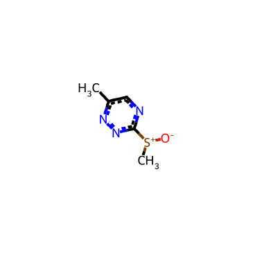 Cc1cnc([S+](C)[O-])nn1